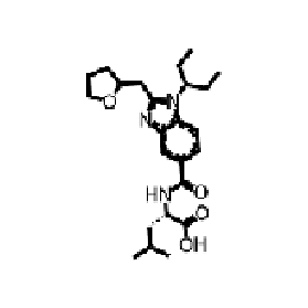 CCC(CC)n1c(CC2CCCO2)nc2cc(C(=O)N[C@@H](CC(C)C)C(=O)O)ccc21